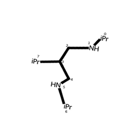 CC(C)NCC(CNC(C)C)C(C)C